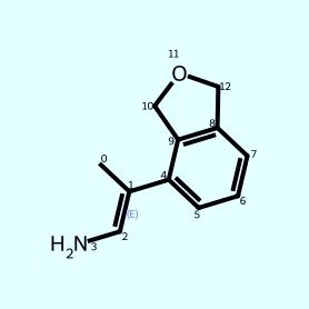 C/C(=C\N)c1cccc2c1COC2